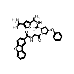 CC(NC(=O)[C@@H]1C[C@@H](Oc2ccccc2)CN1C(=O)CNC(=O)c1ccc2oc3ccccc3c2c1)c1cc(C(=N)N)cs1